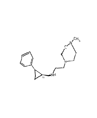 CN1CCN(CCN[C@H]2CC2c2ccccc2)CC1